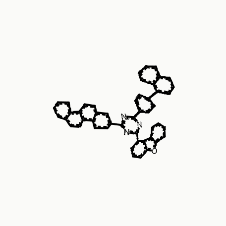 c1ccc2c(-c3ccc(-c4nc(-c5ccc6c(ccc7c8ccccc8ccc67)c5)nc(-c5cccc6oc7ccccc7c56)n4)cc3)cccc2c1